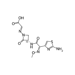 CON=C(C(=O)N[C@H]1CN(N=CC(=O)O)C1=O)c1csc(N)n1